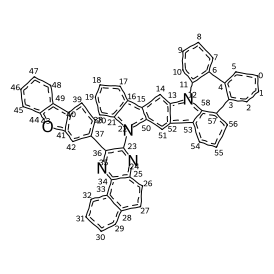 c1ccc2c(c1)-c1ccccc1-n1c3cc4c5ccccc5n(-c5nc6ccc7ccccc7c6nc5-c5ccc6c(c5)oc5ccccc56)c4cc3c3cccc-2c31